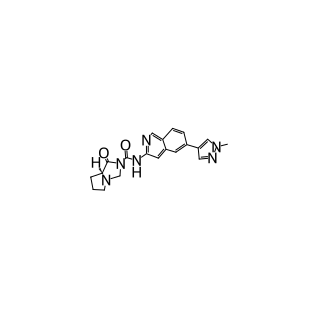 Cn1cc(-c2ccc3cnc(NC(=O)N4CN5CCC[C@@H]5C4=O)cc3c2)cn1